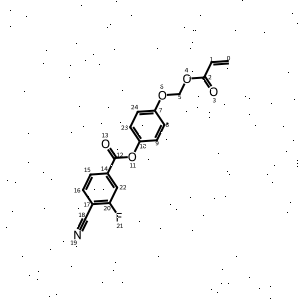 C=CC(=O)OCOc1ccc(OC(=O)c2ccc(C#N)c(F)c2)cc1